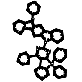 c1ccc(-c2nc(-n3c4ccccc4c4cc5c(cc43)c3ccccc3n5-c3ccccc3)nc3c2-c2ccccc2[Si]3(c2ccccc2)c2ccccc2)cc1